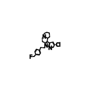 FCc1ccc(CCn2c3c(c4cc(Cl)cnc42)C2CCCCN2CC3)cc1